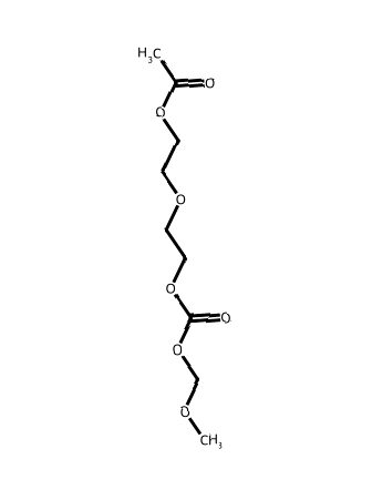 COCOC(=O)OCCOCCOC(C)=O